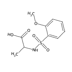 COc1ccccc1S(=O)(=O)NC(C)C(=O)O